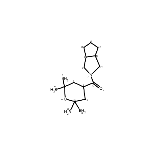 BC1(B)CC(C(=O)N2CC3CCCC3C2)CC(B)(B)O1